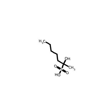 CCCCCC(C)(O)S(=O)(=O)O